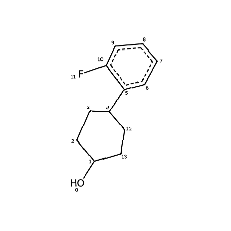 OC1CCC(c2ccccc2F)CC1